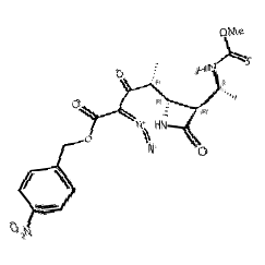 COC(=S)N[C@H](C)[C@H]1C(=O)N[C@@H]1[C@@H](C)C(=O)C(=[N+]=[N-])C(=O)OCc1ccc([N+](=O)[O-])cc1